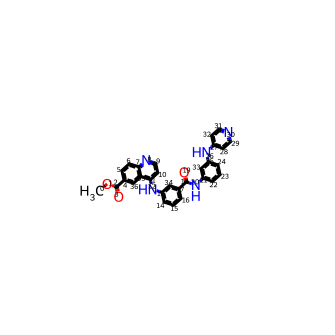 COC(=O)c1ccc2nccc(Nc3cccc(C(=O)Nc4cccc(Nc5ccncc5)c4)c3)c2c1